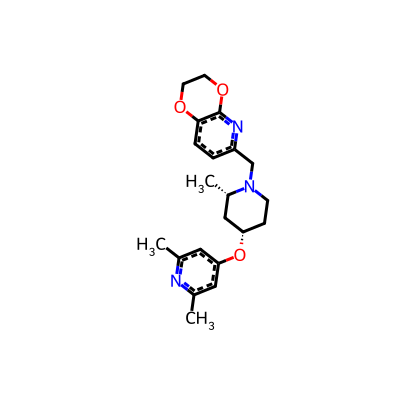 Cc1cc(O[C@H]2CCN(Cc3ccc4c(n3)OCCO4)[C@@H](C)C2)cc(C)n1